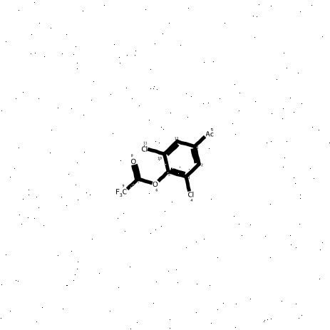 CC(=O)c1cc(Cl)c(OC(=O)C(F)(F)F)c(Cl)c1